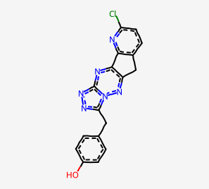 Oc1ccc(Cc2nnc3nc4c(nn23)Cc2ccc(Cl)nc2-4)cc1